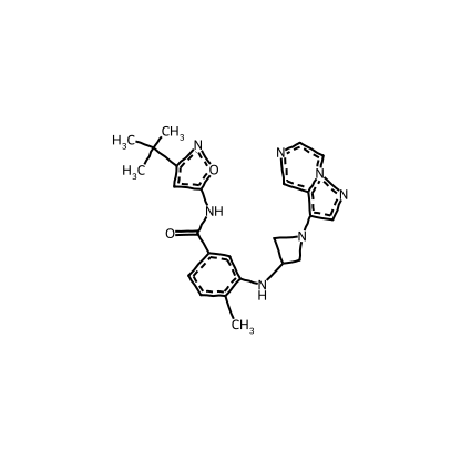 Cc1ccc(C(=O)Nc2cc(C(C)(C)C)no2)cc1NC1CN(c2cnn3ccncc23)C1